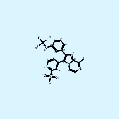 Cc1nccn2c(-c3ccnc(S(C)(=O)=O)n3)c(-c3cccc(OC(F)(F)F)c3)nc12